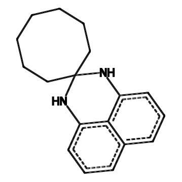 c1cc2c3c(cccc3c1)NC1(CCCCCCC1)N2